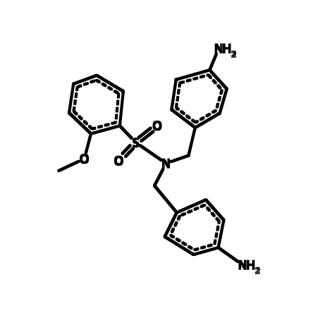 COc1ccccc1S(=O)(=O)N(Cc1ccc(N)cc1)Cc1ccc(N)cc1